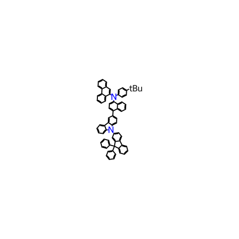 CC(C)(C)c1ccc(N(c2ccc(-c3ccc4c(c3)c3ccccc3n4-c3ccc4c(c3)C(c3ccccc3)(c3ccccc3)c3ccccc3-4)c3ccccc23)c2cc3ccccc3c3ccccc23)cc1